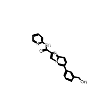 O=C(Nc1ccccn1)c1cn2cc(-c3cccc(CO)c3)ccc2n1